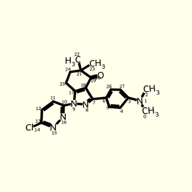 CN(C)c1ccc(-c2nn(-c3ccc(Cl)nn3)c3c2C(=O)C(C)(C)CC3)cc1